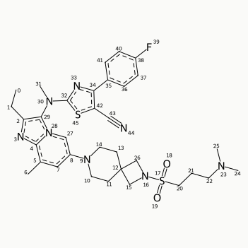 CCc1nc2c(C)cc(N3CCC4(CC3)CN(S(=O)(=O)CCCN(C)C)C4)cn2c1N(C)c1nc(-c2ccc(F)cc2)c(C#N)s1